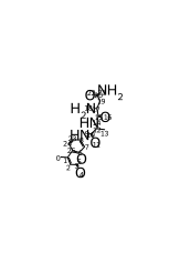 Cc1cc(=O)oc2cc(NC(=O)C(C)NC(=O)C(N)CC(N)=O)ccc12